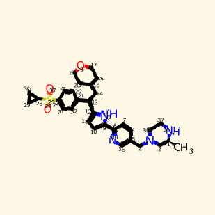 C[C@H]1CN(Cc2ccc(-c3ccc(C(CC4CCOCC4)c4ccc(S(=O)(=O)C5CC5)cc4)[nH]3)nc2)CCN1